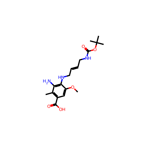 COc1cc(C(=O)O)c(C)c(N)c1NCC=CCNC(=O)OC(C)(C)C